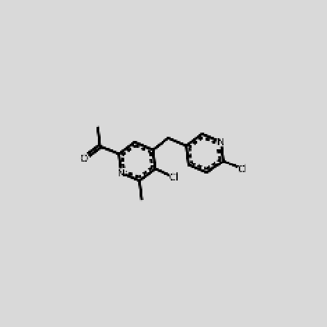 CC(=O)c1cc(Cc2ccc(Cl)nc2)c(Cl)c(C)n1